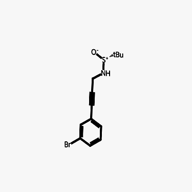 CC(C)(C)[S@@+]([O-])NCC#Cc1cccc(Br)c1